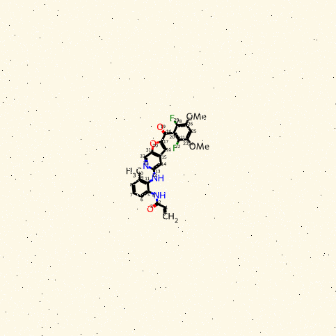 C=CC(=O)Nc1cccc(C)c1Nc1cc2cc(C(=O)c3c(F)c(OC)cc(OC)c3F)oc2cn1